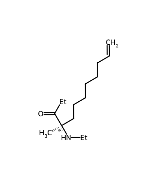 C=CCCCCCC[C@@](C)(NCC)C(=O)CC